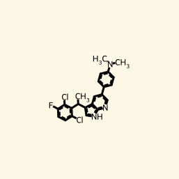 CC(c1c(Cl)ccc(F)c1Cl)c1c[nH]c2ncc(-c3ccc(N(C)C)cc3)cc12